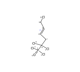 O=P(Cl)(Cl)C(Cl)(Cl)C/C=C/CCl